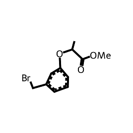 COC(=O)C(C)Oc1cccc(CBr)c1